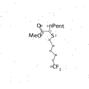 CCCCCC(SCCCCCC(F)(F)F)C(=O)OC